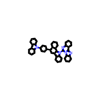 c1ccc2c(c1)nc(-n1c3ccccc3c3cc(-c4ccc(-n5c6ccccc6c6ccccc65)cc4)c4ccccc4c31)n1c3ccccc3nc21